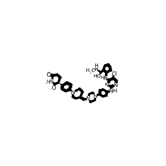 CNC(O)c1ccccc1Nc1nc(Nc2ccc(N3CCN(CC4CCN(c5ccc([C@@H]6CCC(=O)NC6=O)cc5)CC4)CC3)cc2)ncc1Cl